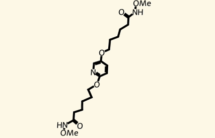 CONC(=O)CCCCCOc1ccc(OCCCCCC(=O)NOC)nc1